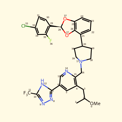 COC(C)Cc1cc(-c2nnc(C(F)(F)F)[nH]2)cnc1CN1CCC(c2cccc3c2O[C@@H](c2ccc(Cl)cc2F)O3)CC1